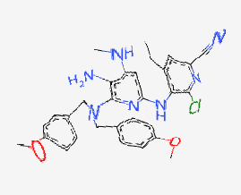 CCc1cc(C#N)nc(Cl)c1Nc1cc(NC)c(N)c(N(Cc2ccc(OC)cc2)Cc2ccc(OC)cc2)n1